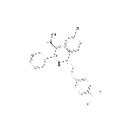 CNC(=O)[C@H](N[C@@H](CCc1ccc(C(F)(F)F)cc1)c1ccc(Cl)nc1)c1ccccc1